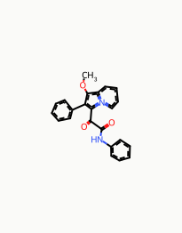 COc1c(-c2ccccc2)c(C(=O)C(=O)Nc2ccccc2)n2ccccc12